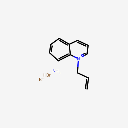 Br.C=CC[n+]1cccc2ccccc21.N.[Br-]